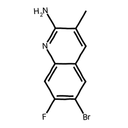 Cc1cc2cc(Br)c(F)cc2nc1N